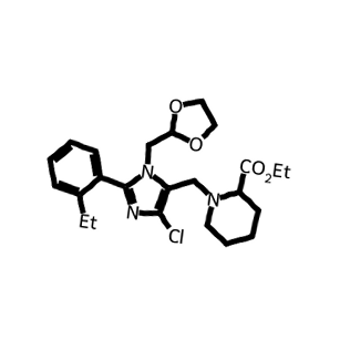 CCOC(=O)C1CCCCN1Cc1c(Cl)nc(-c2ccccc2CC)n1CC1OCCO1